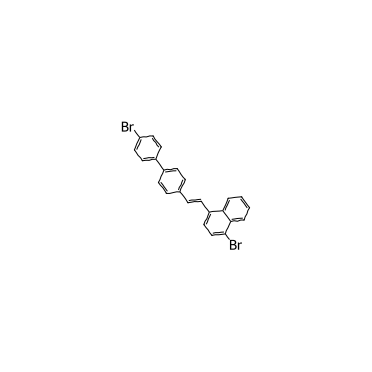 Brc1ccc(-c2ccc(/C=C/c3ccc(Br)c4ccccc34)cc2)cc1